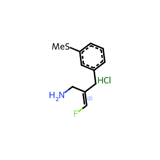 CSc1cccc(C/C(=C/F)CN)c1.Cl